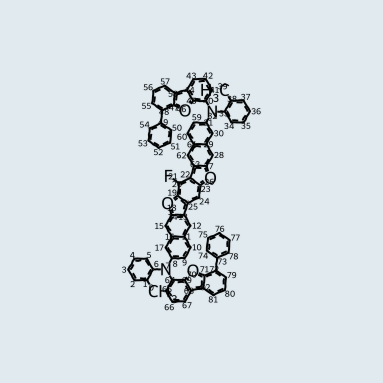 Cc1ccccc1N(c1ccc2cc3c(cc2c1)oc1c(F)c2c(cc13)oc1cc3cc(N(c4ccccc4C)c4cccc5c4oc4c(-c6ccccc6)cccc45)ccc3cc12)c1cccc2c1oc1c(-c3ccccc3)cccc12